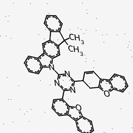 CC1(C)c2ccccc2-c2cc3c4ccccc4n(-c4nc(-c5cccc6c5oc5ccccc56)nc(C5C=Cc6c(oc7ccccc67)C5)n4)c3cc21